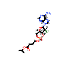 CC(C)OC(=O)CCCO[P@]1(=O)OC[C@H]2O[C@@H](n3cnc4c(N)ncnc43)[C@](C)(Cl)[C@@H]2O1